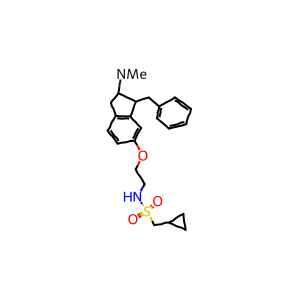 CNC1Cc2ccc(OCCNS(=O)(=O)CC3CC3)cc2C1Cc1ccccc1